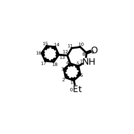 CCc1ccc2c(c1)NC(=O)CCC2c1ccccc1